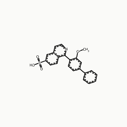 COc1cc(-c2ccccc2)ccc1-c1nccc2cc(S(=O)(=O)O)ccc12